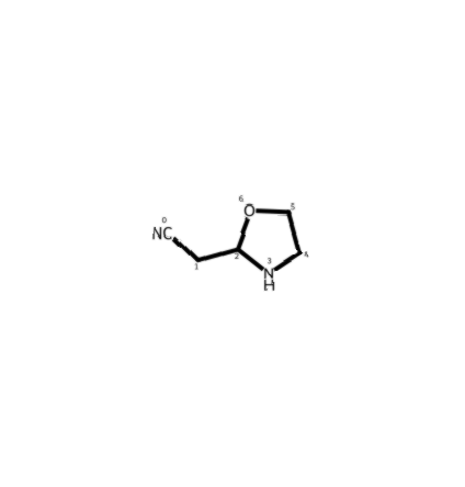 N#CCC1NCCO1